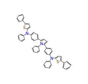 c1ccc(-c2ccc(N(c3ccccc3)c3ccc(-c4ccc(-c5ccc(N(c6ccccc6)c6ccc(-c7ccccc7)s6)cc5)n4-c4ccccc4)cc3)s2)cc1